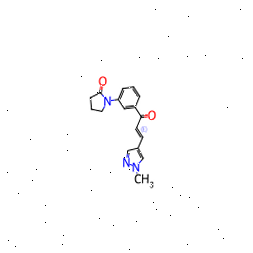 Cn1cc(/C=C/C(=O)c2cccc(N3CCCC3=O)c2)cn1